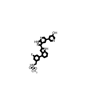 CS(=O)(=O)NCc1cc(F)cc(-c2cccc3[nH]c(-c4n[nH]c5ncc(-c6cncc(O)c6)cc45)cc23)c1